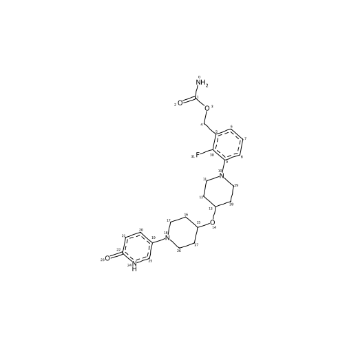 NC(=O)OCc1cccc(N2CCC(OC3CCN(c4ccc(=O)[nH]c4)CC3)CC2)c1F